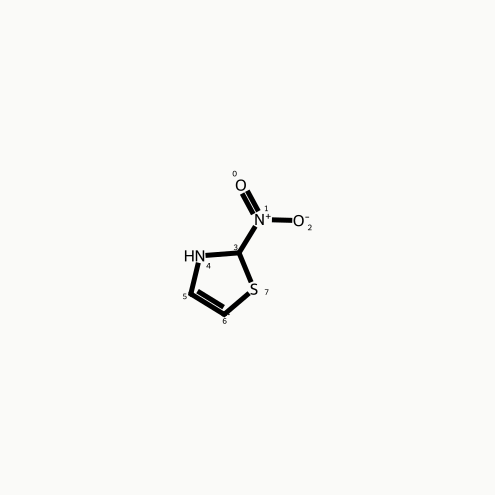 O=[N+]([O-])C1NC=[C]S1